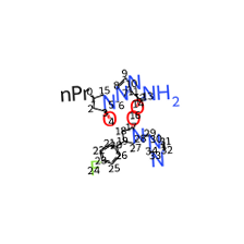 CCCC1CC(=O)N(Cn2ccnc2C(N)=O)C1.O=C1CC(c2ccc(F)cc2)CN1Cn1ccnc1